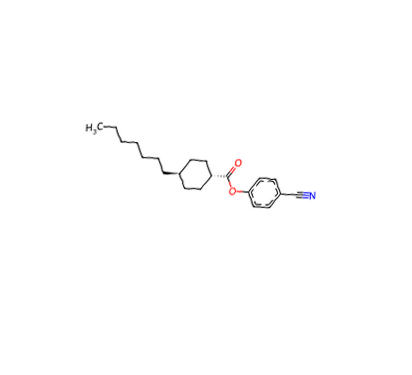 CCCCCCC[C@H]1CC[C@H](C(=O)Oc2ccc(C#N)cc2)CC1